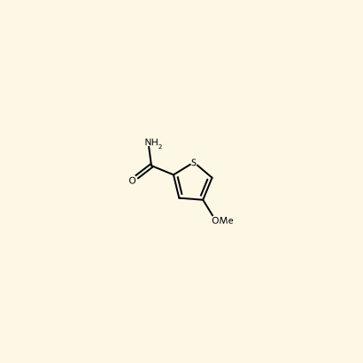 COc1csc(C(N)=O)c1